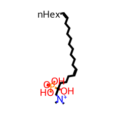 CCCCCC/C=C\CCCCCCCCC/C=C\CCCC(O)(C[N+](C)(C)C)P(=O)(O)O